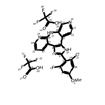 COc1cc(F)c(-c2nc3c([nH]2)-c2ccncc2Nc2ncccc2-3)c(Cl)c1.O=C(O)C(F)(F)F.O=C(O)C(F)(F)F